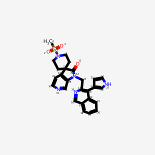 CS(=O)(=O)N1CCC2(CC1)C(=O)N(Cc1ncc3ccccc3c1-c1cc[nH]c1)c1cnccc12